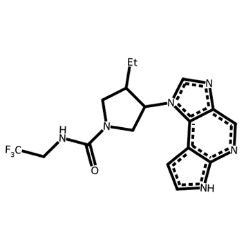 CCC1CN(C(=O)NCC(F)(F)F)CC1n1cnc2cnc3[nH]ccc3c21